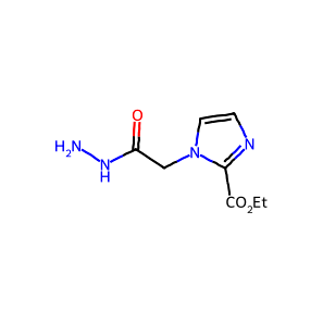 CCOC(=O)c1nccn1CC(=O)NN